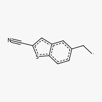 [CH2]Cc1ccc2sc(C#N)cc2c1